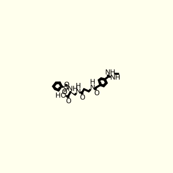 CCNC(=N)c1ccc(C(=O)NCCC(=O)NC[C@H](NS(=O)(=O)c2ccccc2)C(=O)O)cc1